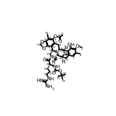 COc1c(C)cc2c(c1O)[C@@H]1C3Cc4c(OC(C)=O)c(C)c5c(c4[C@H](CNC(=O)[C@H](CCCNC(=N)N)NC(=O)OC(C)(C)C)N3[C@@H](C#N)[C@H](C2)N1C)OCO5